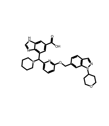 O=C(O)c1cc(C(c2cccc(OCc3ccc4cnn(C5CCOCC5)c4c3)n2)N2CCCCC2)c2nc[nH]c2c1